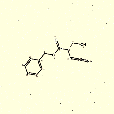 [N-]=[N+]=N[C@@H](CO)C(=O)OCc1ccccc1